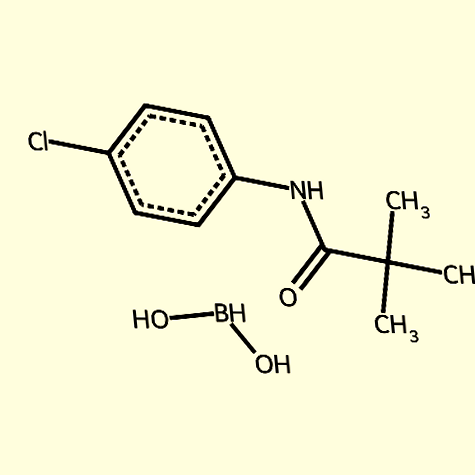 CC(C)(C)C(=O)Nc1ccc(Cl)cc1.OBO